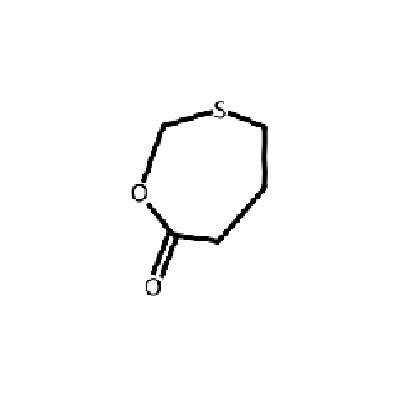 O=C1CCCSCO1